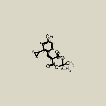 CC1(C)OC(=O)C(=Cc2ccc(O)cc2C2CC2)C(=O)O1